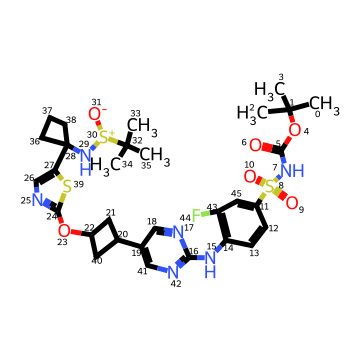 CC(C)(C)OC(=O)NS(=O)(=O)c1ccc(Nc2ncc(C3CC(Oc4ncc(C5(N[S+]([O-])C(C)(C)C)CCC5)s4)C3)cn2)c(F)c1